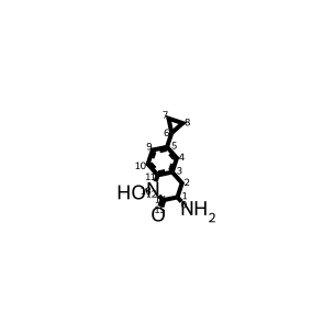 NC1Cc2cc(C3CC3)ccc2N(O)C1=O